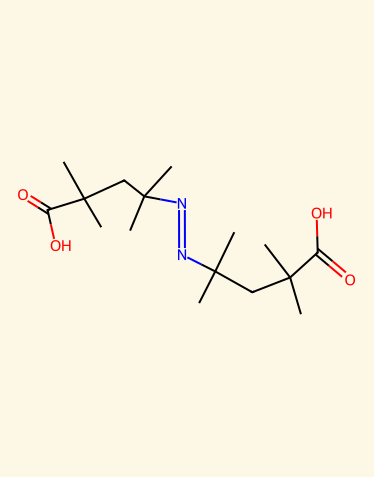 CC(C)(CC(C)(C)C(=O)O)N=NC(C)(C)CC(C)(C)C(=O)O